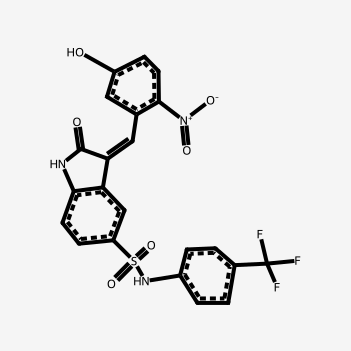 O=C1Nc2ccc(S(=O)(=O)Nc3ccc(C(F)(F)F)cc3)cc2C1=Cc1cc(O)ccc1[N+](=O)[O-]